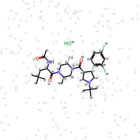 CC(=O)NC(CC(C)(C)C)C(=O)N1C[C@H](C)N(C(=O)[C@@H]2CN(C(C)(C)C)C[C@H]2c2ccc(F)cc2F)C[C@H]1C.Cl